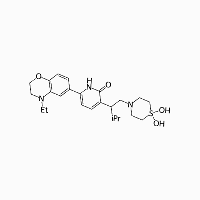 CCN1CCOc2ccc(-c3ccc(C(CN4CCS(O)(O)CC4)C(C)C)c(=O)[nH]3)cc21